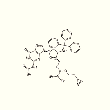 CC(C)C(=O)Nc1nc2c(ncn2[C@H]2CC(NC(c3ccccc3)(c3ccccc3)c3ccccc3)[C@@H](COP(OCCC3C=N3)N(C(C)C)C(C)C)O2)c(=O)[nH]1